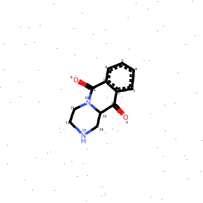 O=C1c2ccccc2C(=O)N2CCNCC12